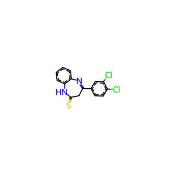 S=C1CC(c2ccc(Cl)c(Cl)c2)=Nc2ccccc2N1